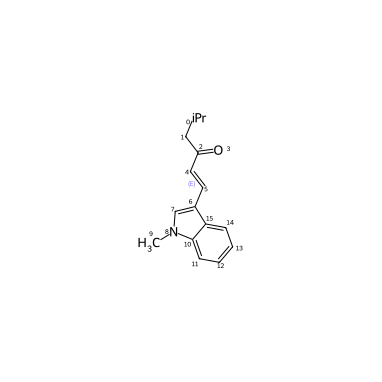 CC(C)CC(=O)/C=C/c1cn(C)c2ccccc12